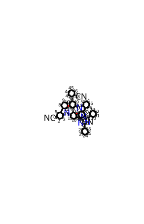 N#Cc1ccc2c(c1)c1ccccc1n2-c1ccc(-c2nc(-c3ccccc3)nc(-c3ccccc3)n2)cc1-c1ccc(-c2ccccc2C#N)cc1-n1c2ccccc2c2cc(C#N)ccc21